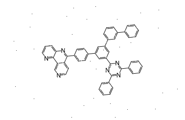 c1ccc(-c2cccc(-c3cc(-c4ccc(-c5nc6cccnc6c6cnccc56)cc4)cc(-c4nc(-c5ccccc5)nc(-c5ccccc5)n4)c3)c2)cc1